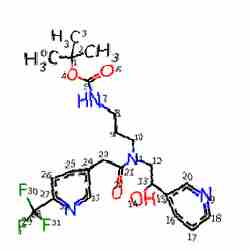 CC(C)(C)OC(=O)NCCCN(CC(O)c1cccnc1)C(=O)Cc1ccc(C(F)(F)F)nc1